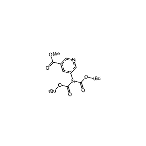 COC(=O)c1cncc(N(C(=O)OC(C)(C)C)C(=O)OC(C)(C)C)c1